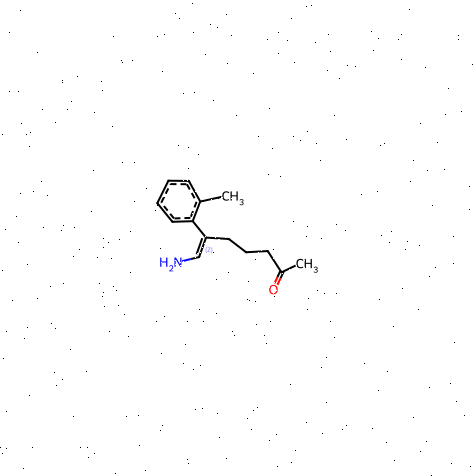 CC(=O)CCC/C(=C/N)c1ccccc1C